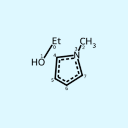 CCO.Cn1cccc1